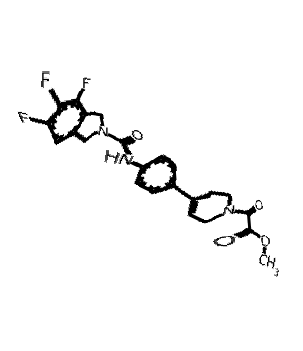 COC(=O)C(=O)N1CC=C(c2ccc(NC(=O)N3Cc4cc(F)c(F)c(F)c4C3)cc2)CC1